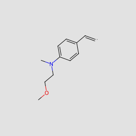 [CH]=Cc1ccc(N(C)CCOC)cc1